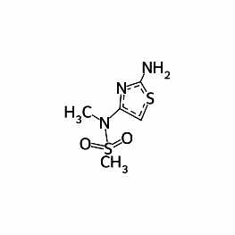 CN(c1csc(N)n1)S(C)(=O)=O